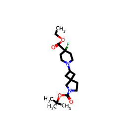 CCOC(=O)C1(F)CCN(C2CC3(CCN(C(=O)OC(C)(C)C)C3)C2)CC1